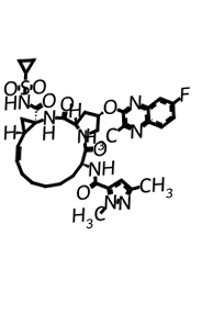 Cc1cc(C(=O)N[C@H]2CCCCCC=C[C@@H]3C[C@@]3(C(=O)NS(=O)(=O)C3CC3)NC(=O)[C@@H]3C[C@@H](Oc4nc5cc(F)ccc5nc4C)CN3C2=O)n(C)n1